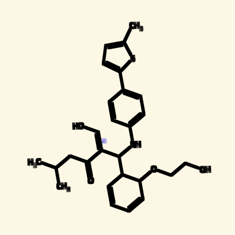 Cc1ccc(-c2ccc(NC(/C(=C/O)C(=O)CC(C)C)C3C=CC=CC3OCCO)cc2)s1